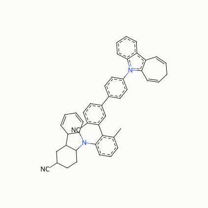 Cc1cccc(N2C3C=CC=CC3C3CC(C#N)CCC32)c1-c1cc(-c2ccc(-n3c4c(c5ccccc53)C=CCC=C4)cc2)ccc1C#N